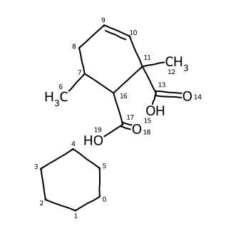 C1CCCCC1.CC1CC=CC(C)(C(=O)O)C1C(=O)O